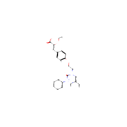 CCOC(Cc1ccc(OCCN(CC(CC)CC)C(=O)NC2CCCCC2)cc1)C(=O)O